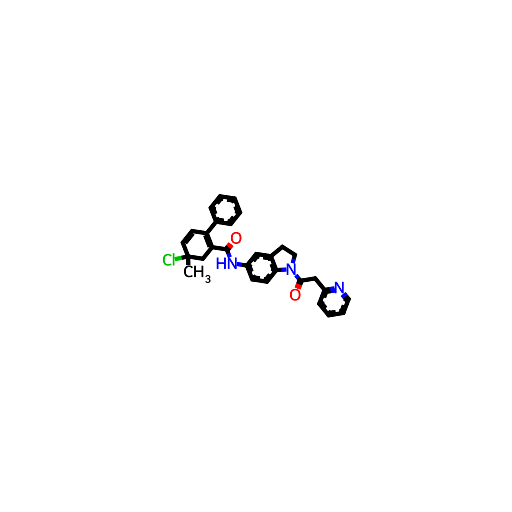 CC1(Cl)C=CC(c2ccccc2)=C(C(=O)Nc2ccc3c(c2)CCN3C(=O)Cc2ccccn2)C1